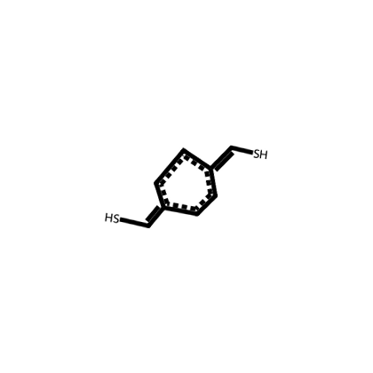 SC=c1ccc(=CS)cc1